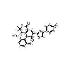 CCc1cccc(C(=O)O)c1-n1c2c(cc(-c3nc(-c4ccc(Cl)cc4)cs3)c1=O)C(=O)CC(C)(C)C2